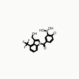 O=C(c1ccc(Cl)c(N(O)O)c1)n1cc(CO)c2c(C(F)(F)F)cccc21